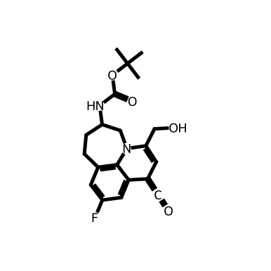 CC(C)(C)OC(=O)NC1CCc2cc(F)cc3c2N(C1)C(CO)=CC3=C=O